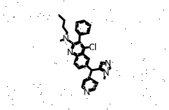 CCCCN(C)c1nc2ccc(C(c3ccncc3)c3cncn3C)cc2c(Cl)c1-c1ccccc1